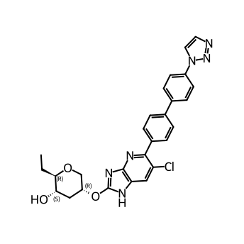 CC[C@H]1OC[C@H](Oc2nc3nc(-c4ccc(-c5ccc(-n6ccnn6)cc5)cc4)c(Cl)cc3[nH]2)C[C@@H]1O